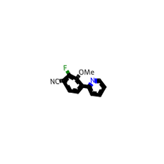 COc1c(-c2ccccn2)ccc(C#N)c1F